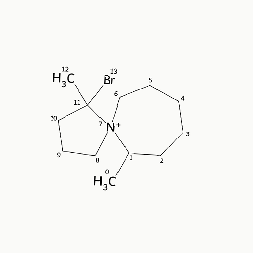 CC1CCCCC[N+]12CCCC2(C)Br